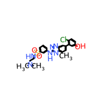 Cc1cc(-c2cc(O)ccc2Cl)cc2nnc(Nc3cccc(S(=O)(=O)NCCN(C)C)c3)nc12